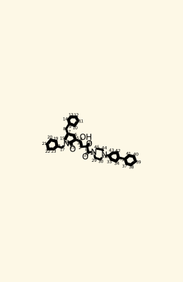 O=C(C=C(O)c1cc(Cc2ccccc2)cn(Cc2ccccc2)c1=O)C(=O)N1CCN(c2ccc(-c3ccccc3)cc2)CC1